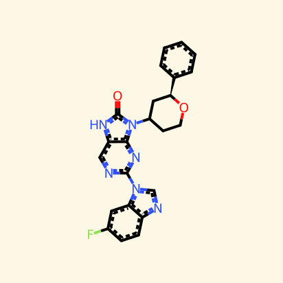 O=c1[nH]c2cnc(-n3cnc4ccc(F)cc43)nc2n1C1CCO[C@H](c2ccccc2)C1